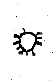 C=C1C[C@H](C)CC[C@H](O)C(C)C(=O)O[C@H](CC)[C@H](C)[C@H](O)[C@@H](C)C1=O